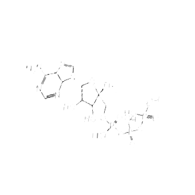 C[C@]1(COP(=O)(O)OP(=O)(O)OP(=O)(O)O)O[C@@H](N2C=NC3C(N)=NC=NC32)C(O)C1O